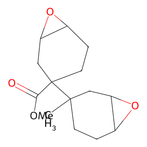 COC(=O)C1(C2(C)CCC3OC3C2)CCC2OC2C1